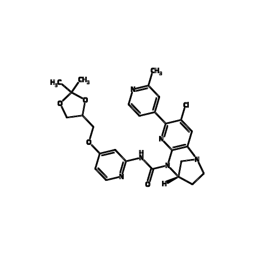 Cc1cc(-c2nc3c(cc2Cl)N2CC[C@@H](C2)N3C(=O)Nc2cc(OCC3COC(C)(C)O3)ccn2)ccn1